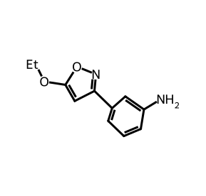 CCOc1cc(-c2cccc(N)c2)no1